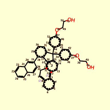 CC/C=c1/cccc/c1=C/Cc1cccc2c1-c1c(C3=CC4C=CC=CC4C=C3)cccc1C2(c1ccc(OCCO)cc1)c1ccc(OCCO)cc1